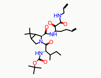 C=CCCC(NC(=O)[C@@H]1C2C(CN1C(=O)[C@@H](NC(=O)OC(C)(C)C)C(C)CC)C2(C)C)C(=O)C(=O)NCC=C